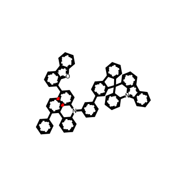 c1ccc(-c2ccccc2-c2ccccc2N(c2ccc(-c3cccc4c3oc3ccccc34)cc2)c2cccc(-c3ccc4c(c3)C3(c5ccccc5-4)c4ccccc4-n4c5ccccc5c5cccc3c54)c2)cc1